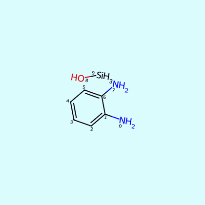 Nc1ccccc1N.O[SiH3]